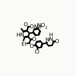 CCC(Oc1ccc(C2=NNC(=O)CC2)cc1Cl)C(=O)C1=C(C)NC(C)=C(C(=O)OC)C1c1cccc([N+](=O)[O-])c1